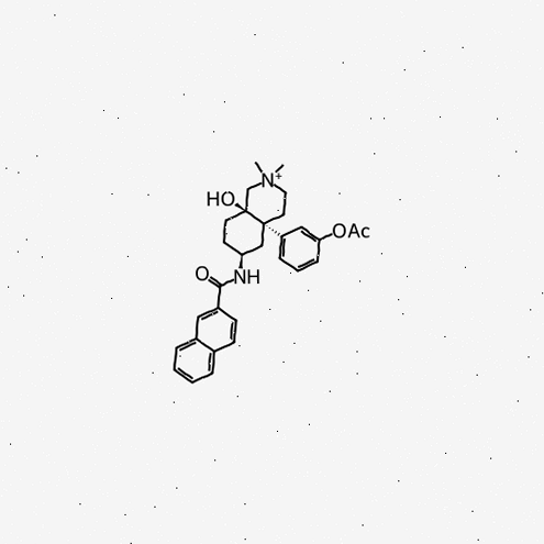 CC(=O)Oc1cccc([C@@]23CC[N+](C)(C)C[C@@]2(O)CC[C@H](NC(=O)c2ccc4ccccc4c2)C3)c1